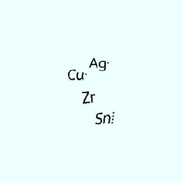 [Ag].[Cu].[Sn].[Zr]